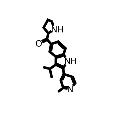 Cc1cc(-c2[nH]c3ccc(C(=O)C4CCCN4)cc3c2C(C)C)ccn1